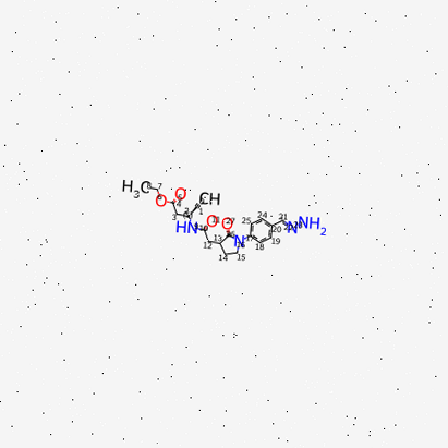 C#C[C@H](CC(=O)OCC)NC(=O)CC1CCN(c2ccc(C=NN)cc2)C1=O